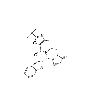 Cc1nc(C(C)(C)F)oc1C(=O)N1CCc2[nH]cnc2[C@@H]1c1cc2ccccn2n1